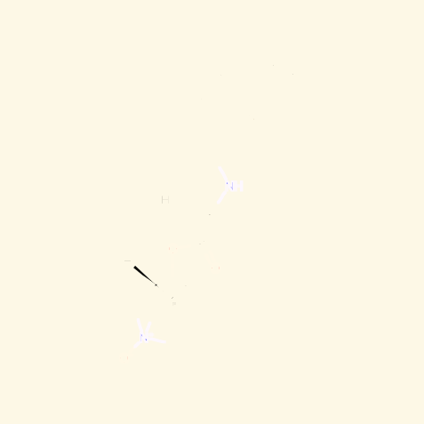 CC(NCc1ccc(C(=O)O)s1)(C(=O)O[C@H]1C[N+]2([O-])CCC1CC2)c1ccccc1